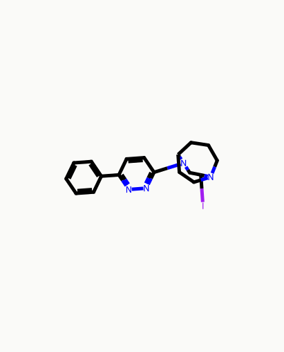 IC1CN(c2ccc(-c3ccccc3)nn2)C2CCCN1CC2